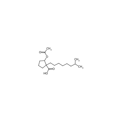 CC(=O)OC1CCCC1(CCCCCCC(C)C)C(=O)O